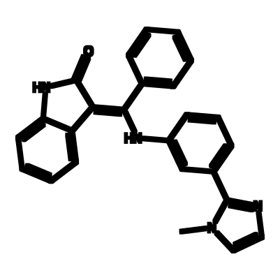 Cn1ccnc1-c1cccc(NC(=C2C(=O)Nc3ccccc32)c2ccccc2)c1